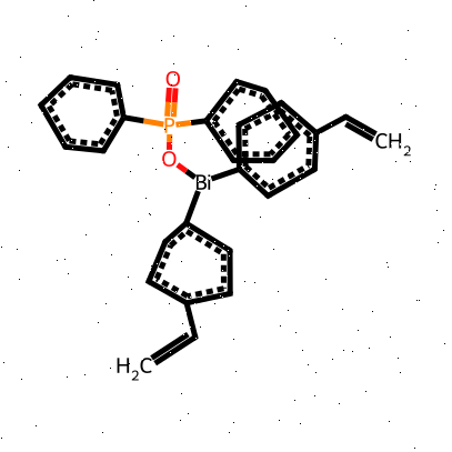 C=Cc1cc[c]([Bi]([O]P(=O)(c2ccccc2)c2ccccc2)[c]2ccc(C=C)cc2)cc1